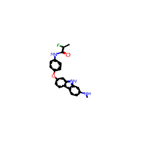 CNc1ccc2c(c1)[nH]c1cc(Oc3ccc(NC(=O)C(C)F)cc3)ccc12